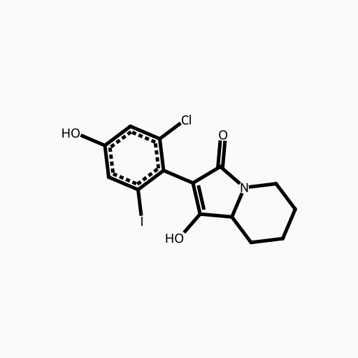 O=C1C(c2c(Cl)cc(O)cc2I)=C(O)C2CCCCN12